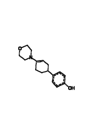 Oc1ccc(C2CC=C(N3CCOCC3)CC2)cc1